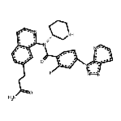 NC(=O)CCc1ccc2ccnc(N(C(=O)c3ccc(-n4nnc5cccnc54)cc3F)[C@@H]3CCCNC3)c2c1